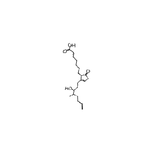 CCCCC(C)[C@@H](O)CCC1=CCC(=O)[C@@H]1CCCCCCC(=O)O